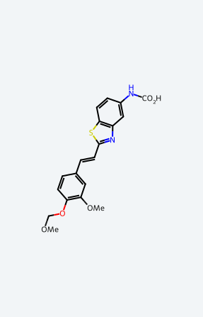 COCOc1ccc(C=Cc2nc3cc(NC(=O)O)ccc3s2)cc1OC